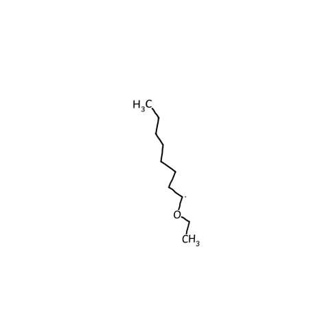 CCCCCCC[CH]OCC